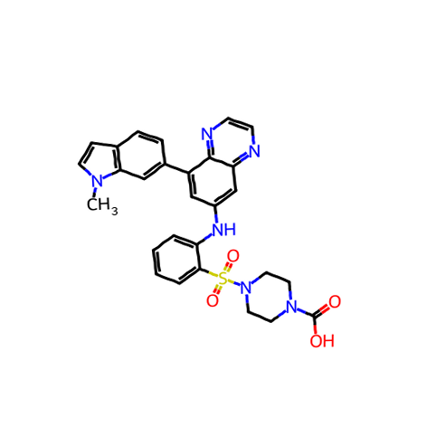 Cn1ccc2ccc(-c3cc(Nc4ccccc4S(=O)(=O)N4CCN(C(=O)O)CC4)cc4nccnc34)cc21